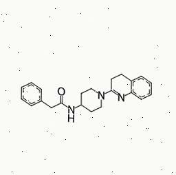 O=C(Cc1ccccc1)NC1CCN(C2=Nc3ccccc3CC2)CC1